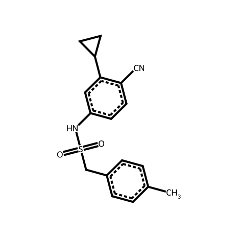 Cc1ccc(CS(=O)(=O)Nc2ccc(C#N)c(C3CC3)c2)cc1